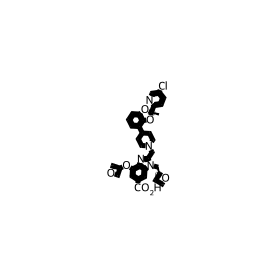 C[C@]1(c2ccc(Cl)cn2)Oc2cccc(C3CCN(Cc4nc5c(OC6COC6)cc(C(=O)O)cc5n4C[C@@H]4CCO4)CC3)c2O1